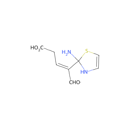 NC1(/C([C]=O)=C\CC(=O)O)NC=CS1